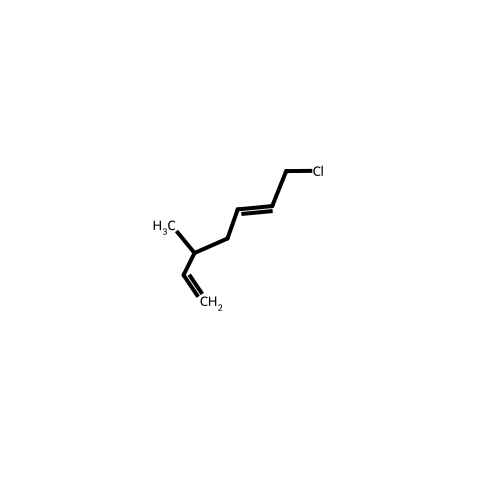 C=CC(C)CC=CCCl